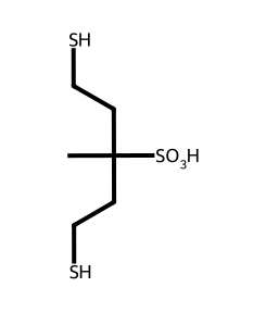 CC(CCS)(CCS)S(=O)(=O)O